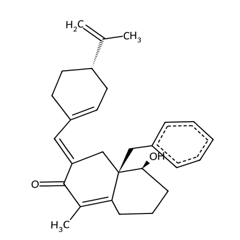 C=C(C)[C@@H]1CC=C(/C=C2\C[C@@]3(Cc4ccccc4)C(=C(C)C2=O)CCC[C@@H]3O)CC1